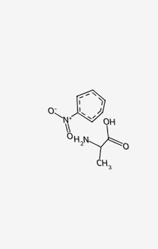 CC(N)C(=O)O.O=[N+]([O-])c1ccccc1